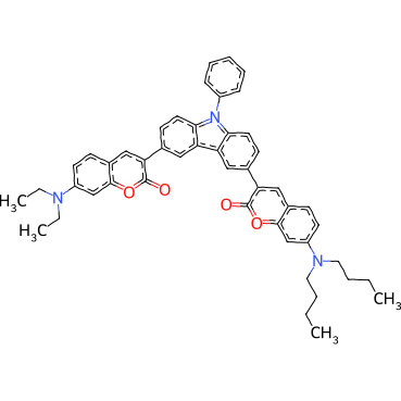 CCCCN(CCCC)c1ccc2cc(-c3ccc4c(c3)c3cc(-c5cc6ccc(N(CC)CC)cc6oc5=O)ccc3n4-c3ccccc3)c(=O)oc2c1